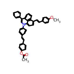 COc1ccc(/C=C/c2ccc(N(C=C(c3ccccc3)c3ccccc3)c3ccc(/C=C/c4ccc(OC(C)=O)cc4)cc3)cc2)cc1